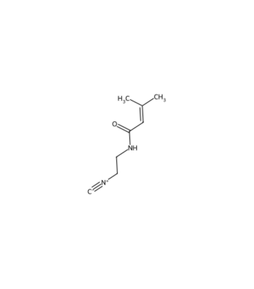 [C-]#[N+]CCNC(=O)C=C(C)C